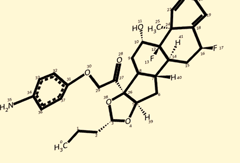 CCC[C@H]1O[C@@H]2C[C@@H]3C(C[C@H](O)[C@@]4(F)[C@H]3C[C@H](F)C3=CC(=O)C=C[C@@]34C)[C@]2(C(=O)COc2ccc(N)cc2)O1